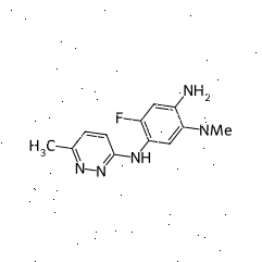 CNc1cc(Nc2ccc(C)nn2)c(F)cc1N